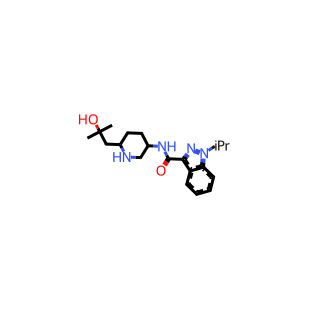 CC(C)n1nc(C(=O)NC2CCC(CC(C)(C)O)NC2)c2ccccc21